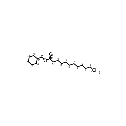 CCCCCCCCCC[CH]C(=O)OCC1CCCCC1